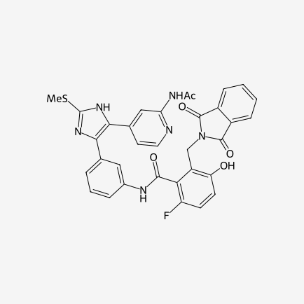 CSc1nc(-c2cccc(NC(=O)c3c(F)ccc(O)c3CN3C(=O)c4ccccc4C3=O)c2)c(-c2ccnc(NC(C)=O)c2)[nH]1